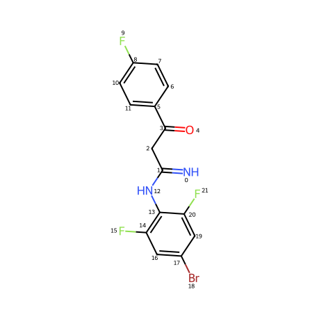 N=C(CC(=O)c1ccc(F)cc1)Nc1c(F)cc(Br)cc1F